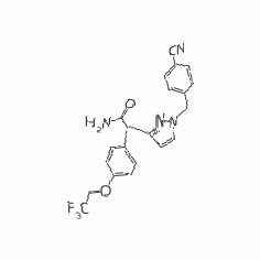 N#Cc1ccc(Cn2ccc(C(C(N)=O)c3ccc(OCC(F)(F)F)cc3)n2)cc1